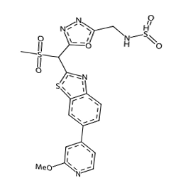 COc1cc(-c2ccc3nc(C(c4nnc(CN[SH](=O)=O)o4)S(C)(=O)=O)sc3c2)ccn1